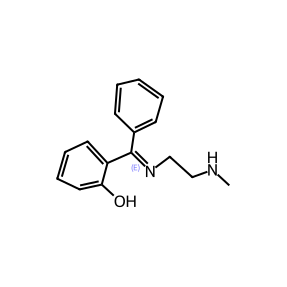 CNCC/N=C(\c1ccccc1)c1ccccc1O